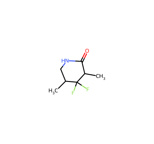 CC1CNC(=O)C(C)C1(F)F